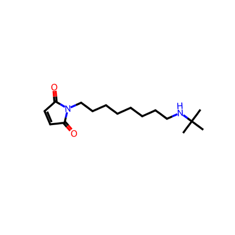 CC(C)(C)NCCCCCCCCN1C(=O)C=CC1=O